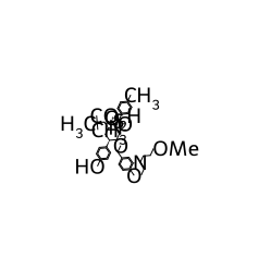 COCCCN1CCOc2ccc(CO[C@H]3CN(S(=O)(=O)c4ccc(C)cc4)[C@H](CC(C)(C)C(=O)O)C[C@@H]3c3ccc(O)cc3)cc21